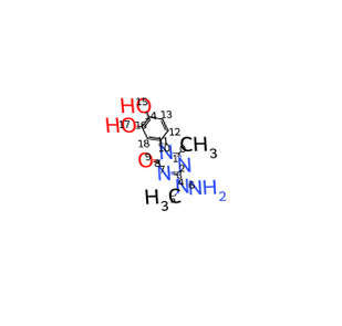 Cc1nc(N(C)N)nc(=O)n1-c1ccc(O)c(O)c1